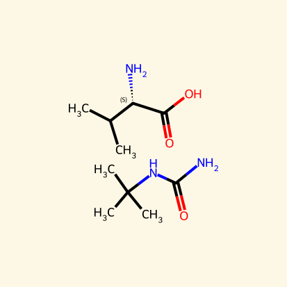 CC(C)(C)NC(N)=O.CC(C)[C@H](N)C(=O)O